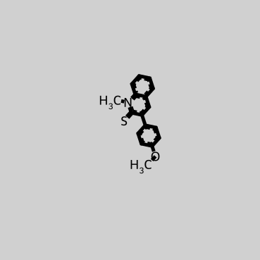 COc1ccc(-c2cc3ccccc3n(C)c2=S)cc1